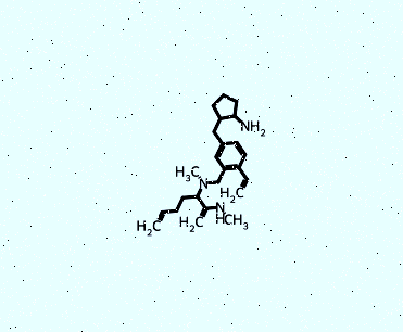 C=CCCC(C(=C)NC)N(C)Cc1cc(CC2CCCC2N)ccc1C=C